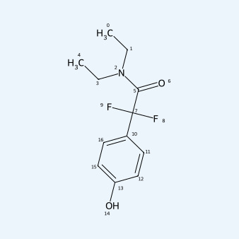 CCN(CC)C(=O)C(F)(F)c1ccc(O)cc1